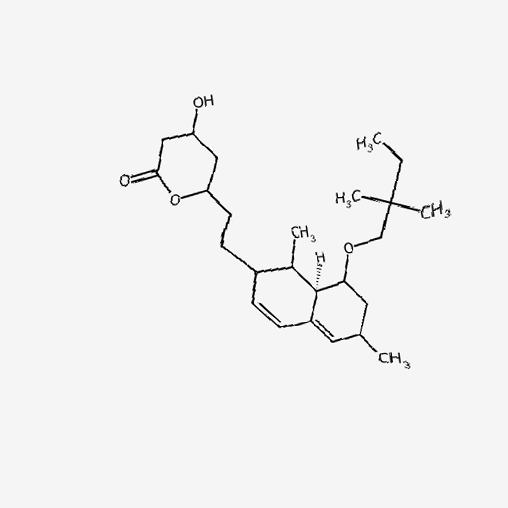 CCC(C)(C)COC1CC(C)C=C2C=CC(CCC3CC(O)CC(=O)O3)C(C)[C@H]21